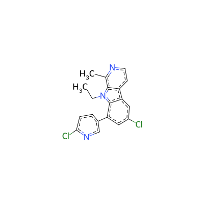 CCn1c2c(-c3ccc(Cl)nc3)cc(Cl)cc2c2ccnc(C)c21